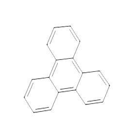 [c]1cccc2c1c1[c]cccc1c1ccccc21